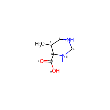 CC1CN[CH]NC1C(=O)O